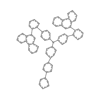 c1ccc(-c2ccc(-c3ccc(N(c4ccc(-c5ccccc5-c5cc6ccccc6c6ccccc56)cc4)c4ccc(-c5ccccc5-c5cc6ccccc6c6ccccc56)cc4)cc3)cc2)cc1